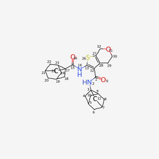 O=C(NC12CC3CC(CC1C3)C2)c1c(NC(=O)C23CC4CC(CC2C4)C3)sc2c1CCOC2